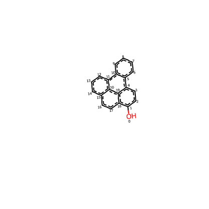 Oc1ccc2c3ccccc3c3cccc4ccc1c2c43